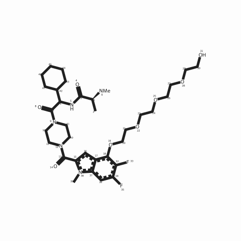 CN[C@@H](C)C(=O)NC(C(=O)N1CCN(C(=O)c2cc3c(OCCOCCOCCOCCO)c(F)c(F)cc3n2C)CC1)C1CCCCC1